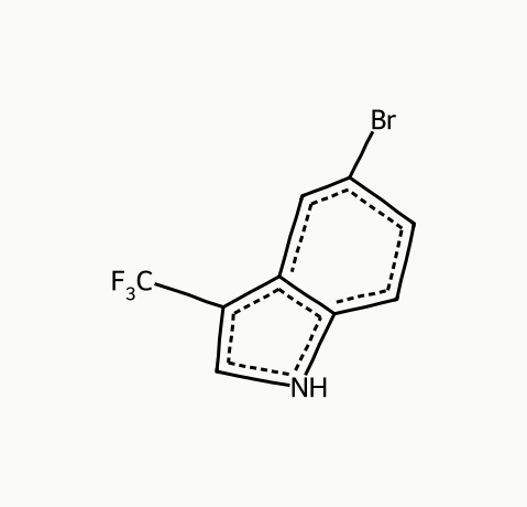 FC(F)(F)c1c[nH]c2ccc(Br)cc12